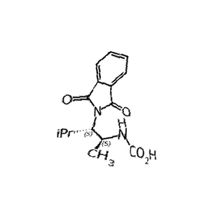 CC(C)[C@@H]([C@H](C)NC(=O)O)N1C(=O)c2ccccc2C1=O